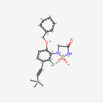 C[Si](C)(C)C#Cc1ccc(OCc2ccccc2)c(N2CC(=O)NS2(=O)=O)c1F